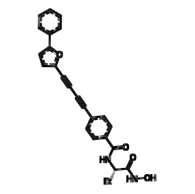 CC[C@H](NC(=O)c1ccc(C#CC#Cc2ccc(-c3ccccc3)o2)cc1)C(=O)NO